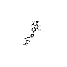 CC(=O)N1c2ccc(-c3cnn(CCN(C)C(=O)OC(C)(C)C)c3)cc2[C@H](N)[C@@H](C)[C@@H]1C1CC1